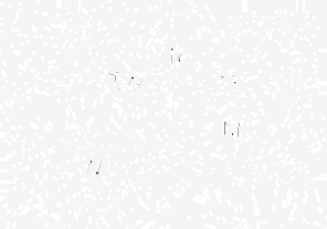 Nc1ncnc2[nH]cc(-c3ccncc3)c12